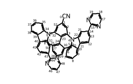 N#Cc1cc(-n2c3ccccc3c3ccc(-c4ncccn4)cc32)c(-c2c(F)cccc2F)c(-n2c3ccccc3c3ccc(-c4ncccn4)cc32)c1